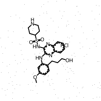 COc1ccc(CCCO)c(Nc2nc3ccccc3nc2NS(=O)(=O)C2CCNCC2)c1.Cl